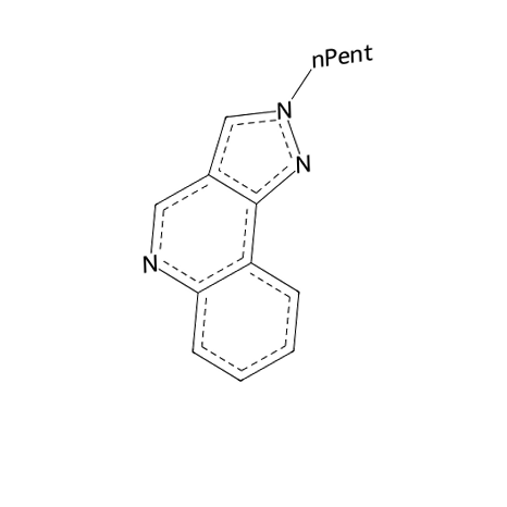 CCCCCn1cc2cnc3ccccc3c2n1